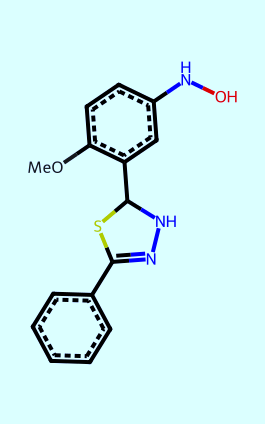 COc1ccc(NO)cc1C1NN=C(c2ccccc2)S1